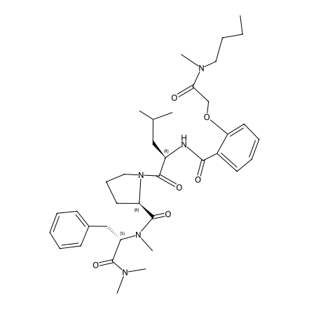 CCCCN(C)C(=O)COc1ccccc1C(=O)N[C@H](CC(C)C)C(=O)N1CCC[C@@H]1C(=O)N(C)[C@@H](Cc1ccccc1)C(=O)N(C)C